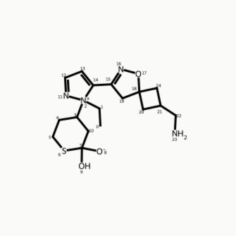 CC[N+]1(C2CCSC([O-])(O)C2)N=CC=C1C1=NOC2(C1)CC(CN)C2